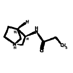 CCC(=O)N[C@H]1C[N@]2CC[C@H]1C2